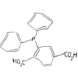 O=C(O)c1ccc(C(=O)O)c(P(c2ccccc2)c2ccccc2)c1